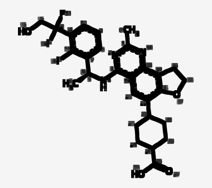 Cc1nc(N[C@@H](C)c2cccc(C(F)(F)CO)c2F)c2cc(C3CCC(C(=O)O)CC3)c3c(c2n1)CCO3